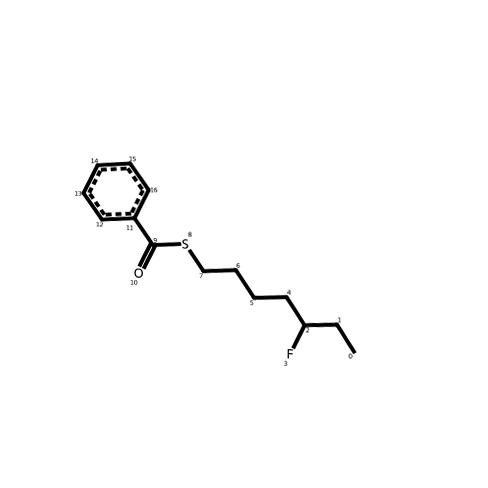 CCC(F)CCCCSC(=O)c1ccccc1